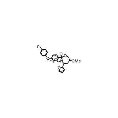 COC1COP(=O)(c2ccc(Oc3ccc(Cl)cc3)cc2)N(CC(=O)O)C(c2ccco2)C1